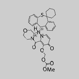 COC(=O)OCOc1c2n(ccc1=O)N([C@@H]1c3ccccc3SC3(CCCCC3)c3ccccc31)[C@@H]1COCCN1C2=O